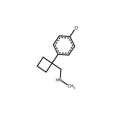 CNCC1(c2ccc(Cl)cc2)CCC1